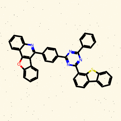 c1ccc(-c2nc(-c3ccc(-c4nc5ccccc5c5oc6ccccc6c45)cc3)nc(-c3cccc4c3sc3ccccc34)n2)cc1